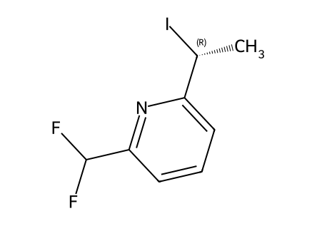 C[C@@H](I)c1cccc(C(F)F)n1